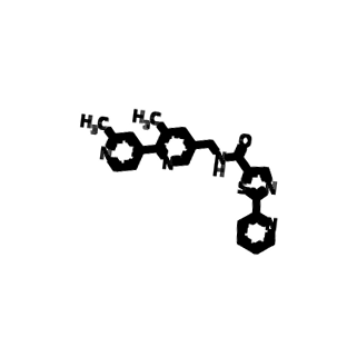 Cc1cc(-c2ncc(CNC(=O)c3cnc(-c4ccccn4)s3)cc2C)ccn1